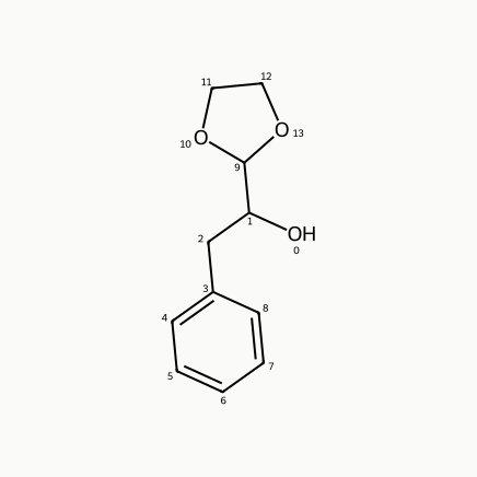 OC(Cc1ccccc1)C1OCCO1